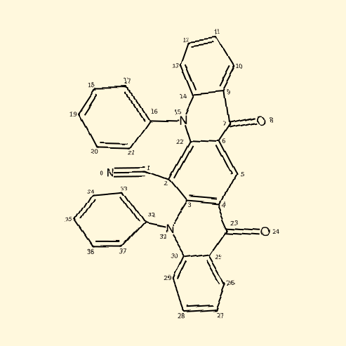 N#Cc1c2c(cc3c(=O)c4ccccc4n(-c4ccccc4)c13)c(=O)c1ccccc1n2-c1ccccc1